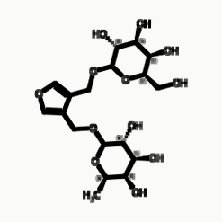 C[C@H]1OC(OCc2cocc2COC2O[C@H](CO)[C@H](O)[C@H](O)[C@H]2O)[C@H](O)[C@@H](O)[C@H]1O